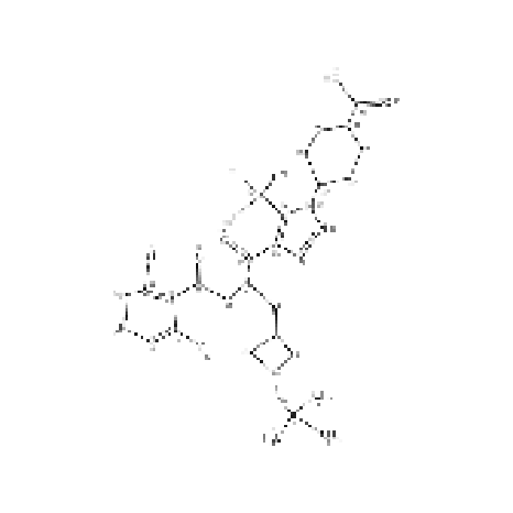 CC(C)(C)C[C@H]1C[C@H](CN(CC(=O)c2c(Cl)cncc2Cl)C(=O)c2cnn(C3CCC(C(=O)O)CC3)c2C(F)(F)F)C1